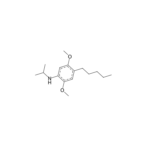 CCCCCc1cc(OC)c(NC(C)C)cc1OC